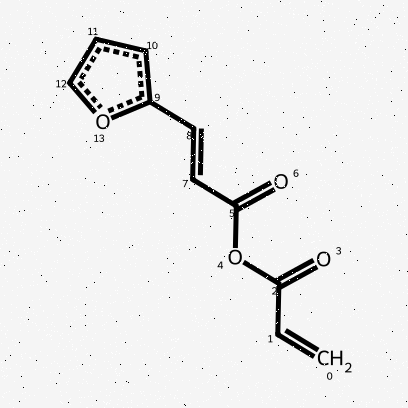 C=CC(=O)OC(=O)C=Cc1ccco1